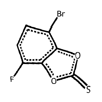 Fc1ccc(Br)c2oc(=S)oc12